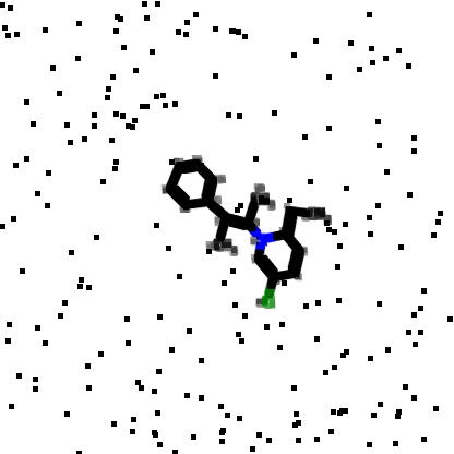 CC=C1C=CC(Cl)=CN1/C(C)=C(\C)c1ccccc1